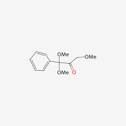 COCC(=O)C(OC)(OC)c1ccccc1